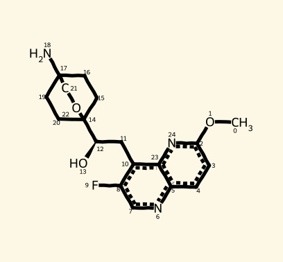 COc1ccc2ncc(F)c(C[C@@H](O)C34CCC(N)(CC3)CO4)c2n1